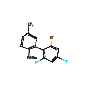 CC(=O)Nc1[c]cc(C(F)(F)F)cc1-c1c(F)cc(F)cc1Br